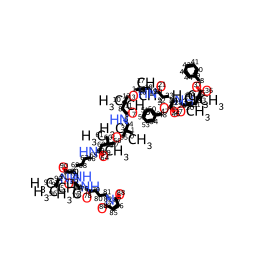 CCC(C)(CNC(=O)CC(C)(C)COCC(C)(C)CNC(=O)CC[C@H](NC(=O)C(C)(C)CC(C)(C)C(=O)OCc1ccccc1)C(=O)OCc1ccccc1)COCC(C)(CC)CC(=O)NCCCC[C@H](NC(=O)[C@H](C)NC(=O)CCCN1C(=O)C=CC1=O)C(=O)NCC(C)(C)C